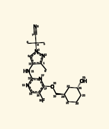 Cc1nn(C(C)(C)C#N)cc1Nc1ncc(F)c(OC[C@@H]2CCC[C@@H](O)C2)n1